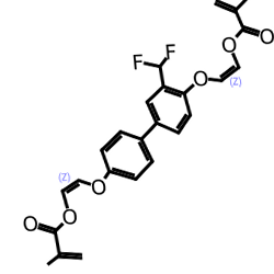 C=C(C)C(=O)O/C=C\Oc1ccc(-c2ccc(O/C=C\OC(=O)C(=C)C)c(C(F)F)c2)cc1